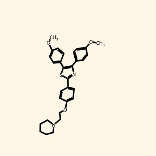 COc1ccc(-c2nc(-c3ccc(OCCN4CCCCC4)cc3)sc2-c2ccc(OC)cc2)cc1